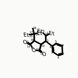 CCC(CC)C(c1ccccc1)C1C(=O)OC(=O)C1C(C)(CC)CC